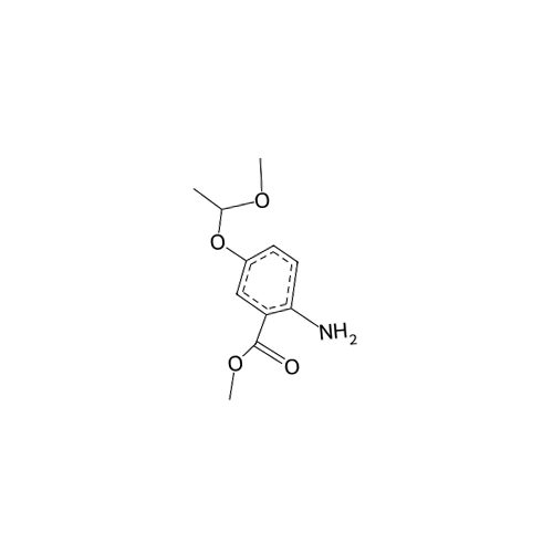 COC(=O)c1cc(OC(C)OC)ccc1N